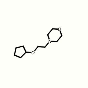 C1CCC(OCCN2CCOCC2)C1